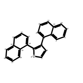 c1ccc2c(-c3ccoc3-c3cccc4ccccc34)cccc2c1